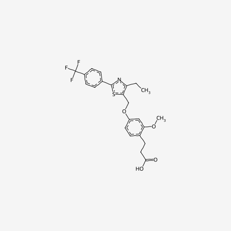 CCc1nc(-c2ccc(C(F)(F)F)cc2)sc1COc1ccc(CCC(=O)O)c(OC)c1